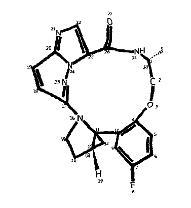 C[C@@H]1COc2ccc(F)cc2C23C[C@@H]2CCN3c2ccc3ncc(n3n2)C(=O)N1